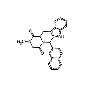 CN1CC(=O)N2C(Cc3c([nH]c4ccccc34)C2c2ccc3ccccc3c2)C1=O